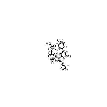 C[C@]1(CC(=O)O)C[C@H](c2cccc(Cl)c2)[C@@H](c2ccc(Cl)cc2)N(C(CNSc2cccs2)C2CC2)C1=O